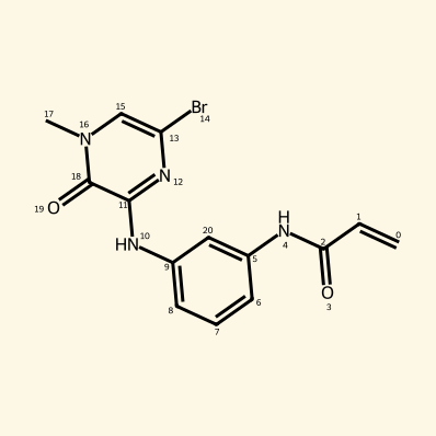 C=CC(=O)Nc1cccc(Nc2nc(Br)cn(C)c2=O)c1